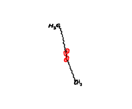 CCCCCCCCCCCCCCCCCC(=O)OCCOC(=O)CCCCCCCCCCCCCCCCC